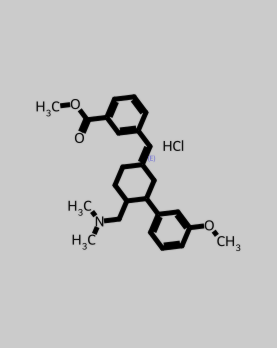 COC(=O)c1cccc(/C=C2\CCC(CN(C)C)C(c3cccc(OC)c3)C2)c1.Cl